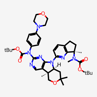 CN(C(=O)OC(C)(C)C)[C@]1(C)CCc2ccc(N3c4nc(N(C(=O)OC(C)(C)C)c5ccc(N6CCOCC6)cc5)ncc4[C@]4(C)COC(C)(C)C[C@H]34)nc21